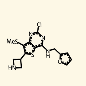 CSc1c(C2CNC2)sc2c(NCc3ccco3)nc(Cl)nc12